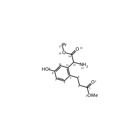 COC(=O)CCc1ccc(O)cc1C(N)C(=O)OC(C)C